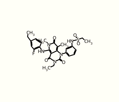 CCc1ccc(Nc2c3c(=O)n(CC)c(=O)n(-c4cccc(NS(=O)(=O)CC)c4)c3c(C)c(=O)n2C)c(F)c1